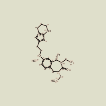 CC(C)C1c2cc(OCCc3cn4c(n3)NCCC4)ccc2C[C@@H](CC(=O)O)C(=O)N1CC(F)(F)F.Cl